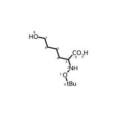 CC(C)(C)ONC(CCCCO)C(=O)O